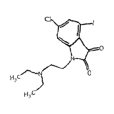 CCN(CC)CCN1C(=O)C(=O)c2c(I)cc(Cl)cc21